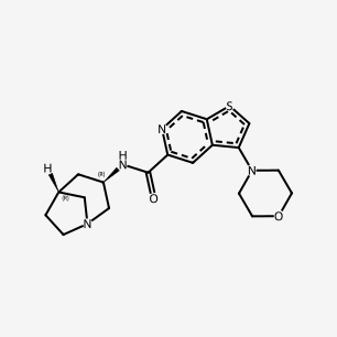 O=C(N[C@@H]1C[C@H]2CCN(C2)C1)c1cc2c(N3CCOCC3)csc2cn1